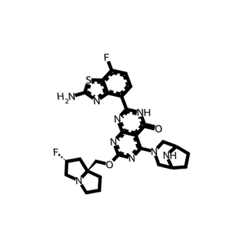 Nc1nc2c(-c3nc4nc(OC[C@@]56CCCN5C[C@H](F)C6)nc(N5CC6CCC(C5)N6)c4c(=O)[nH]3)ccc(F)c2s1